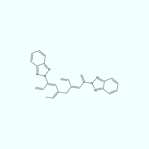 C=C/C(=C\C(=C)n1nc2ccccc2n1)CC(=C/C)/C=C(\C=C)n1nc2ccccc2n1